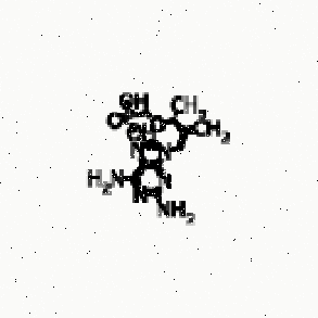 C=C(Cn1cnc2c(N)nc(N)nc21)[C@@H](C)OCP(=O)(O)O